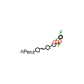 CCCCCC1CCC(/C=C/C2CCC(C3CCC(C(F)(F)Oc4ccc(F)cc4)OC3)CC2)CC1